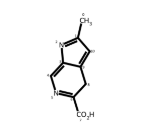 CC1=NC2=CN=C(C(=O)O)CC2=C1